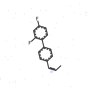 C/C=C\c1ccc(-c2ccc(F)cc2F)cc1